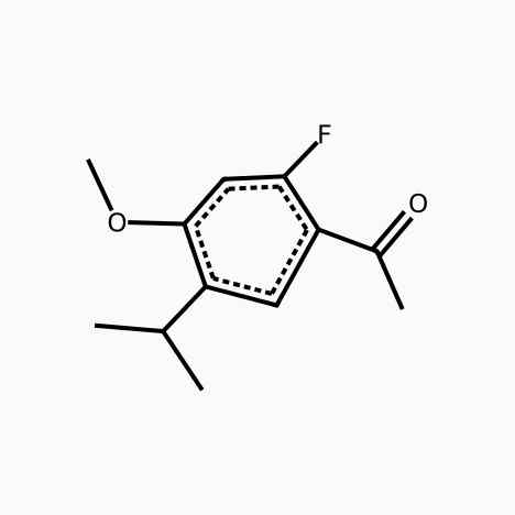 COc1cc(F)c(C(C)=O)cc1C(C)C